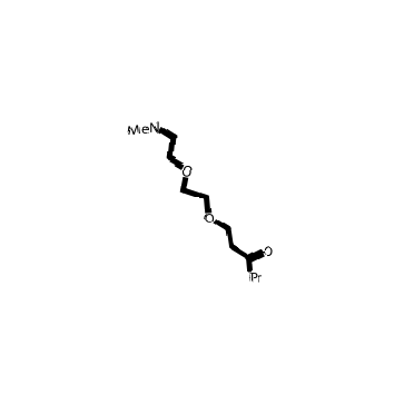 CNCCOCCOCCC(=O)C(C)C